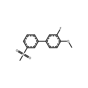 COc1ccc(-c2cccc(S(C)(=O)=O)c2)cc1F